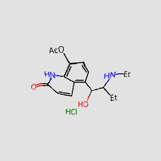 CCNC(CC)C(O)c1ccc(OC(C)=O)c2[nH]c(=O)ccc12.Cl